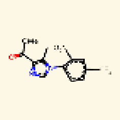 COC(=O)c1ncn(-c2ccc(C(F)(F)F)cc2[N+](=O)[O-])c1C